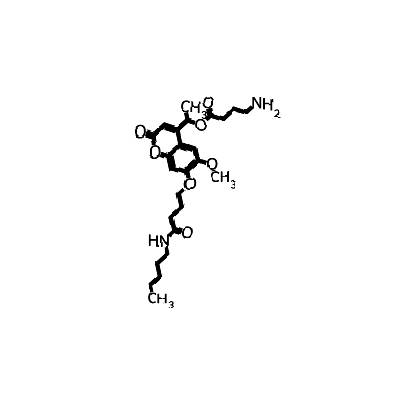 CCCCCNC(=O)CCCOc1cc2oc(=O)cc(C(C)OC(=O)CCCN)c2cc1OC